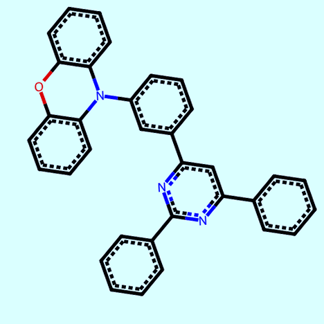 c1ccc(-c2cc(-c3cccc(N4c5ccccc5Oc5ccccc54)c3)nc(-c3ccccc3)n2)cc1